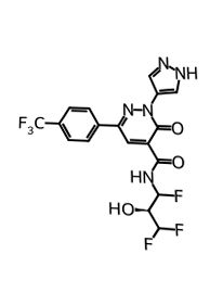 O=C(NC(F)[C@H](O)C(F)F)c1cc(-c2ccc(C(F)(F)F)cc2)nn(-c2cn[nH]c2)c1=O